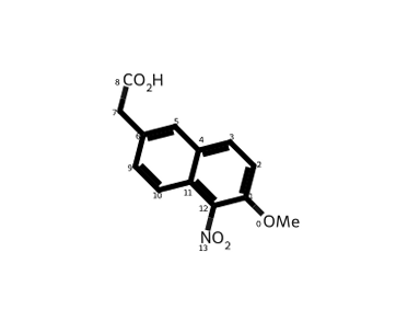 COc1ccc2cc(CC(=O)O)ccc2c1[N+](=O)[O-]